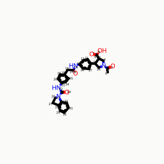 CC(=O)N1CC(C(=O)O)C(c2ccc(NC(=O)Cc3ccc(NC(=O)N4CCc5ccccc54)cc3)cc2)C1